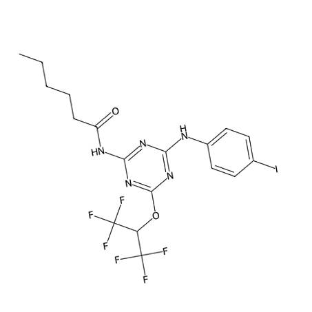 CCCCCC(=O)Nc1nc(Nc2ccc(I)cc2)nc(OC(C(F)(F)F)C(F)(F)F)n1